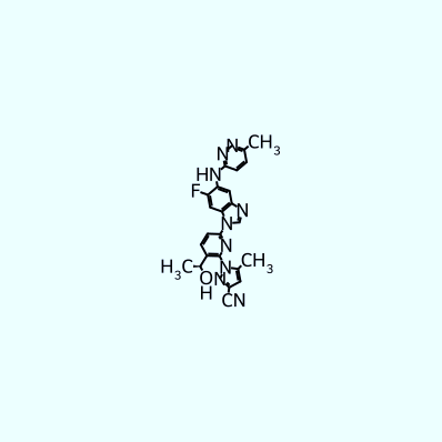 Cc1ccc(Nc2cc3ncn(-c4ccc([C@H](C)O)c(-n5nc(C#N)cc5C)n4)c3cc2F)nn1